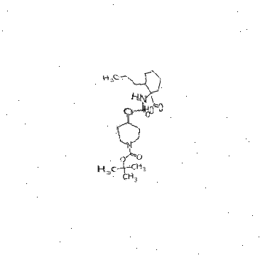 CCCC1CCCCC1(NC(=O)OC1CCN(C(=O)OC(C)(C)C)CC1)C(=O)O